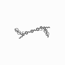 CCCCc1cc(-c2ccc(/C=C/c3ccc(/C=C/c4ccc(-c5ccc(-c6cc(CCCC)c(COCCOCCC)s6)s5)cc4)cc3)cc2)sc1CCOCCOCC